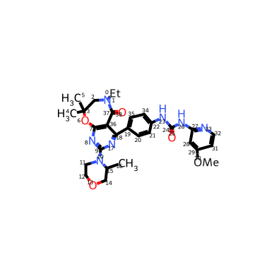 CCN1CC(C)(C)Oc2nc(N3CCOCC3C)nc(-c3ccc(NC(=O)Nc4cc(OC)ccn4)cc3)c2C1=O